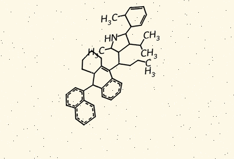 CCCC(C1=C2CCCCC2C(c2cccc3ccccc23)c2ccccc21)C1C(C)NC(C2C=CC=CC2C)C1C(C)C